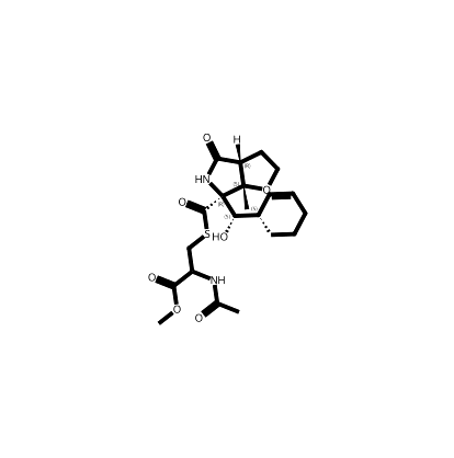 COC(=O)C(CSC(=O)[C@]1([C@@H](O)[C@@H]2C=CCCC2)NC(=O)[C@@H]2CCO[C@@]21C)NC(C)=O